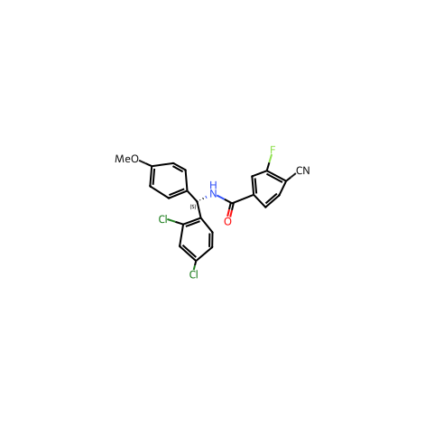 COc1ccc([C@H](NC(=O)c2ccc(C#N)c(F)c2)c2ccc(Cl)cc2Cl)cc1